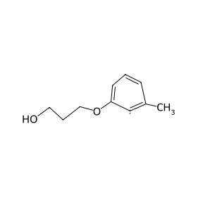 Cc1[c]c(OCCCO)ccc1